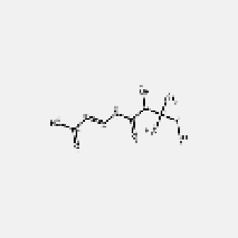 CC(C)(CO)C(O)C(=O)N/C=C/C(=O)O